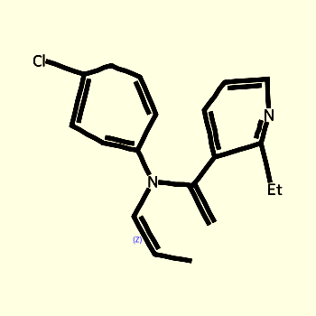 C=C(c1cccnc1CC)N(/C=C\C)C1=CC=C(Cl)CC=C1